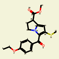 CCOc1ccc(C(=O)c2c(SC)cc3n2CCC3C(=O)OC)cc1